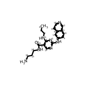 CCCNc1nc(Nc2ccc3cnccc3c2)ncc1C(=O)NCCCN